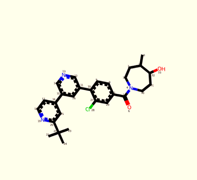 CC1CCN(C(=O)c2ccc(-c3cncc(-c4ccnc(C(C)(C)C)c4)c3)c(Cl)c2)CCC1O